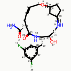 NC(=O)[C@@H]1CC=CCO[C@H]2CC[C@H](C2)NC[C@@H](O)[C@H](Cc2cc(F)cc(F)c2)NC1=O